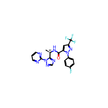 C[C@@H](NC(=O)c1cc(C(F)(F)F)nn1-c1ccc(F)cc1)c1ncnn1-c1ncccn1